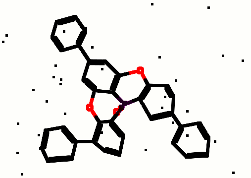 O=P12c3cc(-c4ccccc4)ccc3Oc3cc(-c4ccccc4)cc(c31)Oc1c(-c3ccccc3)cccc12